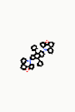 c1ccc(-c2c3ccc(N(c4ccccc4)c4cccc5oc6ccccc6c45)cc3c(-c3ccccc3)c3ccc(N(c4ccccc4)c4cccc5oc6ccccc6c45)cc23)cc1